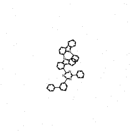 c1ccc(-c2cccc(-c3nc(-c4ccccc4)nc(-c4cccc5c4c4ccccc4n5-c4cccc5c6ccccc6n(-c6ccccc6)c45)n3)c2)cc1